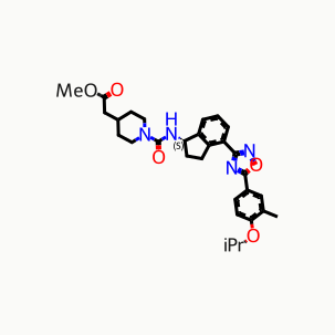 COC(=O)CC1CCN(C(=O)N[C@H]2CCc3c(-c4noc(-c5ccc(OC(C)C)c(C)c5)n4)cccc32)CC1